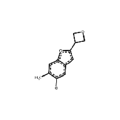 Cc1cc2oc(C3COC3)cc2cc1Cl